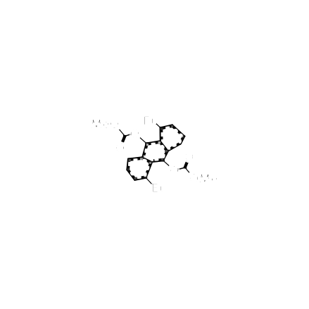 CCc1cccc2c(OC(=O)OC)c3c(CC)cccc3c(OC(=O)OC)c12